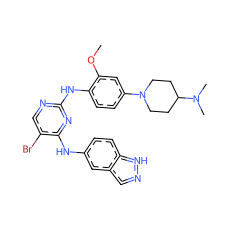 COc1cc(N2CCC(N(C)C)CC2)ccc1Nc1ncc(Br)c(Nc2ccc3[nH]ncc3c2)n1